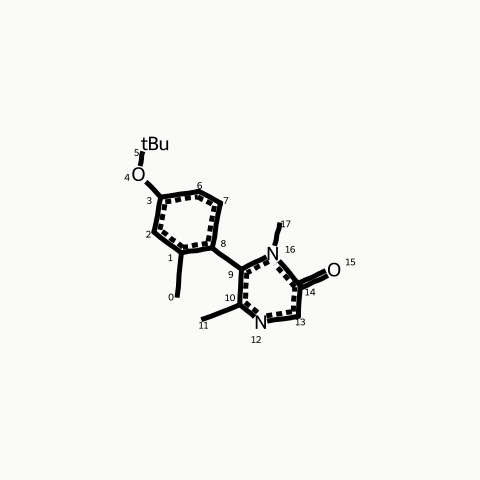 Cc1cc(OC(C)(C)C)ccc1-c1c(C)ncc(=O)n1C